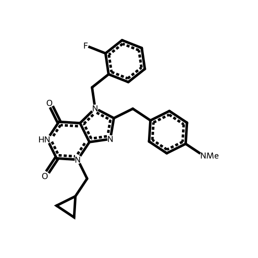 CNc1ccc(Cc2nc3c(c(=O)[nH]c(=O)n3CC3CC3)n2Cc2ccccc2F)cc1